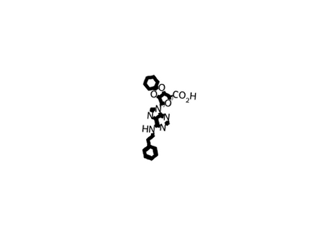 O=C(O)[C@H]1O[C@@H](n2cnc3c(NCCc4ccccc4)ncnc32)C2OC3(CCCCC3)OC21